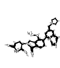 COc1c(-c2cc(CN3CCCC3)cc3cncn23)ccc2c1CN(C1CCC(=O)NC1=O)C2=O